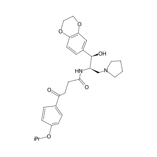 CC(C)Oc1ccc(C(=O)CCC(=O)N[C@H](CN2CCCC2)[C@H](O)c2ccc3c(c2)OCCO3)cc1